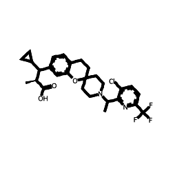 CC(c1nc(C(F)(F)F)ccc1Cl)N1CCC2(CCc3ccc(C(C4CC4)[C@H](C)C(=O)O)cc3O2)CC1